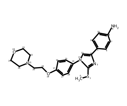 CSc1nc(-c2ccc(N)cc2)cn1-c1ccc(OCCN2CCOCC2)cc1